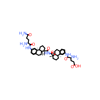 C[C@]1(C(=O)NC(=O)[C@@]2(C)CCC[C@]3(C)c4cc(NC(=O)[C@@H](N)CCC(=O)O)ccc4CC[C@@H]23)CCC[C@]2(C)c3cc(NC(=O)[C@@H](N)CCC(N)=O)ccc3CC[C@@H]12